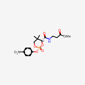 COC(=O)CCNC(=O)[C@@H]1O[P@](=O)(Oc2ccc([N+](=O)[O-])cc2)OCC1(C)C